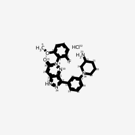 COc1cccc(F)c1-n1nc2c(-c3cccc(N4CCCC(N)C4)c3)n[nH]c2cc1=O.Cl